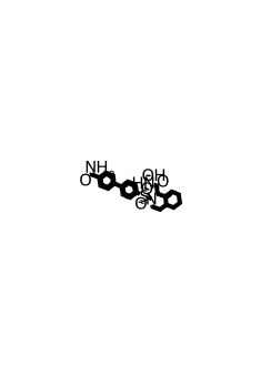 NC(=O)c1ccc(-c2ccc(S(=O)(=O)N3CCC4CCCC=C4C3C(=O)NO)cc2)cc1